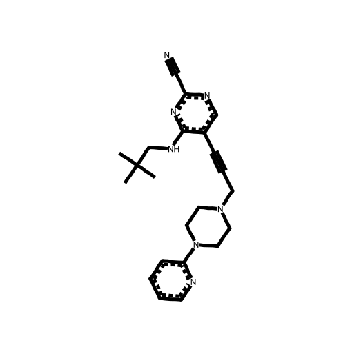 CC(C)(C)CNc1nc(C#N)ncc1C#CCN1CCN(c2ccccn2)CC1